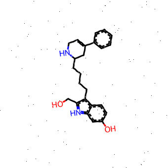 OCc1[nH]c2cc(O)ccc2c1CCCCC1CC(c2ccccc2)=CCN1